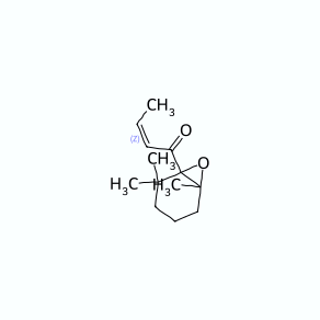 C/C=C\C(=O)C12OC1(C)CCCC2(C)C